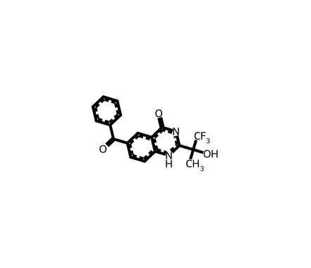 CC(O)(c1nc(=O)c2cc(C(=O)c3ccccc3)ccc2[nH]1)C(F)(F)F